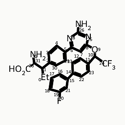 CCC(c1ccc(-c2cc(OC(c3ccc(-c4cccc(F)c4)cc3)C(F)(F)F)nc(N)n2)cc1)[C@H](N)C(=O)O